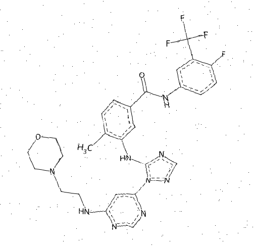 Cc1ccc(C(=O)Nc2ccc(F)c(C(F)(F)F)c2)cc1Nc1ncnn1-c1cc(NCCN2CCOCC2)ncn1